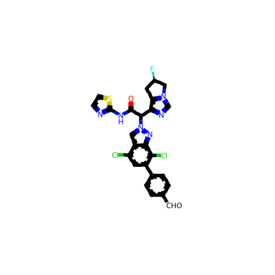 O=Cc1ccc(-c2cc(Cl)c3cn(C(C(=O)Nc4nccs4)c4ncn5c4C[C@@H](F)C5)nc3c2Cl)cc1